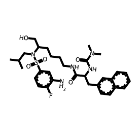 CC(C)CN(C(CO)CCCCNC(=O)C(Cc1ccc2ccccc2c1)NC(=O)N(C)C)S(=O)(=O)c1ccc(F)c(N)c1